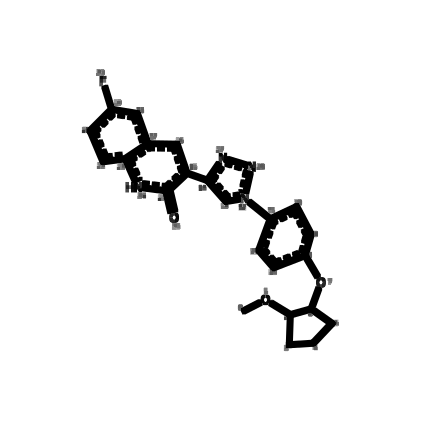 COC1CCCC1Oc1ccc(-n2cc(-c3cc4cc(F)ccc4[nH]c3=O)nn2)cc1